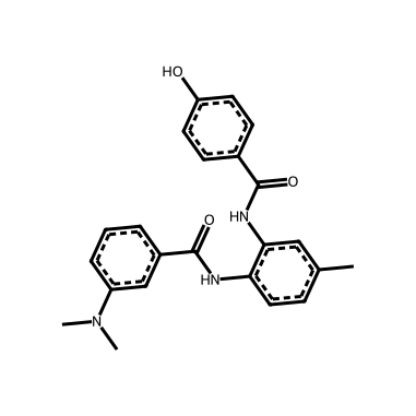 Cc1ccc(NC(=O)c2cccc(N(C)C)c2)c(NC(=O)c2ccc(O)cc2)c1